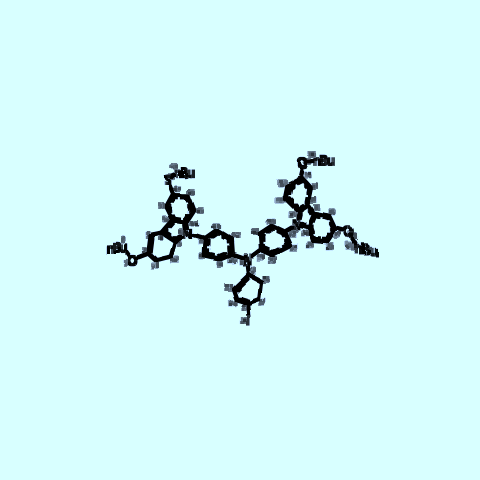 CCCCOC1=Cc2c(n(-c3ccc(N(C4=CC=C(I)CC4)c4ccc(-n5c6ccc(OCCCC)cc6c6cc(OCCCC)ccc65)cc4)cc3)c3ccc(SCCCC)cc23)CC1